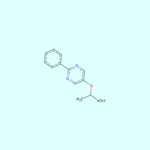 CCCCCCCCC(C)Oc1cnc(-c2c[c]ccc2)nc1